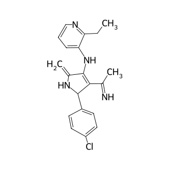 C=C1NC(c2ccc(Cl)cc2)C(C(C)=N)=C1Nc1cccnc1CC